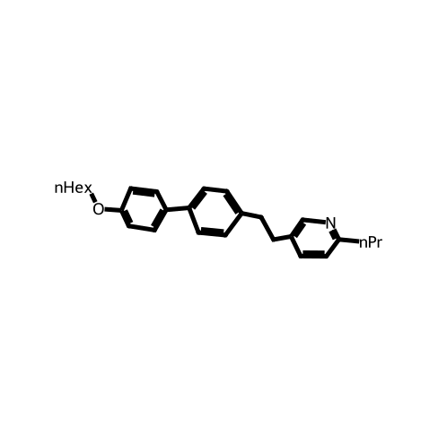 CCCCCCOc1ccc(-c2ccc(CCc3ccc(CCC)nc3)cc2)cc1